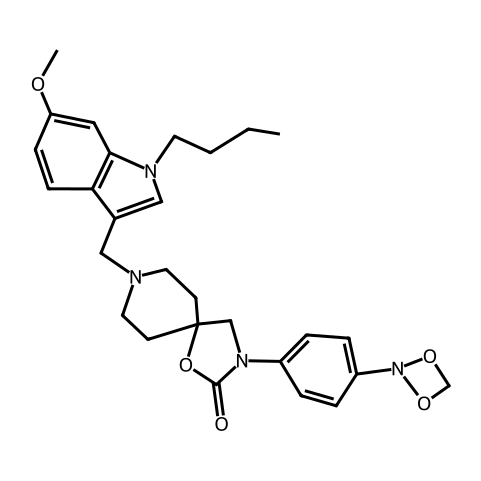 CCCCn1cc(CN2CCC3(CC2)CN(c2ccc(N4OCO4)cc2)C(=O)O3)c2ccc(OC)cc21